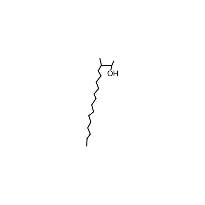 CCCCCCCCCCCCCCC(C)C(C)O